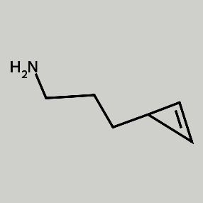 NCCCC1C=C1